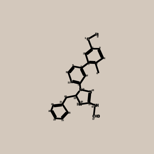 CCOc1ccc(C)c(-c2ccnc(N3N=C(NC=O)NC3Cc3ccccc3)c2)c1